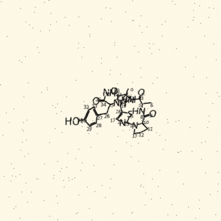 CC(NC(=O)C(C)NC(=O)C1CCCN1c1ncc(CO)s1)C(=O)NC(Cc1ccc(O)cc1)C(N)=O